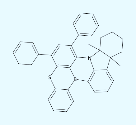 CC12CCCCC1(C)N1c3c(cccc32)B2c3ccccc3Sc3c(C4=CC=CCC4)cc(-c4ccccc4)c1c32